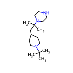 CC(C)(C)N1CCC(CC(C)(C)N2CCNCC2)CC1